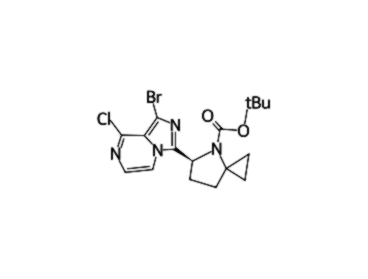 CC(C)(C)OC(=O)N1[C@H](c2nc(Br)c3c(Cl)nccn23)CCC12CC2